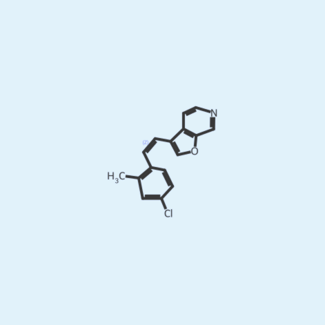 Cc1cc(Cl)ccc1/C=C\c1coc2cnccc12